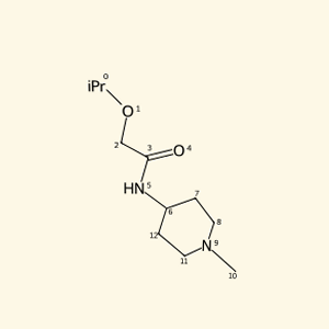 CC(C)OCC(=O)NC1CCN(C)CC1